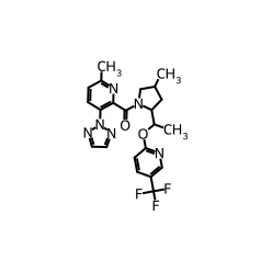 Cc1ccc(-n2nccn2)c(C(=O)N2CC(C)CC2C(C)Oc2ccc(C(F)(F)F)cn2)n1